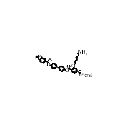 CCCCCOc1ccc(C(=O)Oc2ccc(-c3ccc(OC(=O)c4ccc(OCCC)cc4)cc3)cc2)c(OCCCCCCN)c1